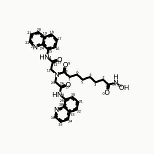 O=C(CCCCCCC(=O)N(CC(=O)Nc1cccc2cccnc12)CC(=O)Nc1cccc2cccnc12)NO